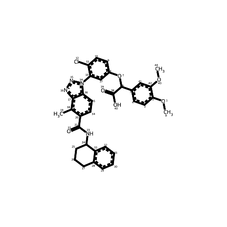 COc1ccc(C(Oc2ccc(Cl)c(-n3nnc4c(C)c(C(=O)NC5CCCc6ccccc65)ccc43)c2)C(=O)O)cc1OC